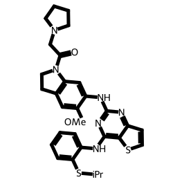 COc1cc2c(cc1Nc1nc(Nc3ccccc3SC(C)C)c3sccc3n1)N(C(=O)CN1CCCC1)CC2